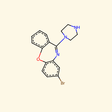 Brc1ccc2c(c1)N=C(N1CCNCC1)c1ccccc1O2